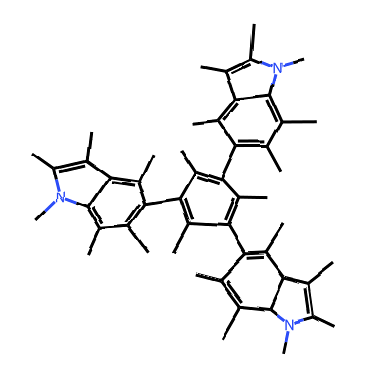 CC1=C(C)C2C(C(C)=C1c1c(C)c(-c3c(C)c(C)c4c(c3C)c(C)c(C)n4C)c(C)c(-c3c(C)c(C)c4c(c3C)c(C)c(C)n4C)c1C)C(C)=C(C)N2C